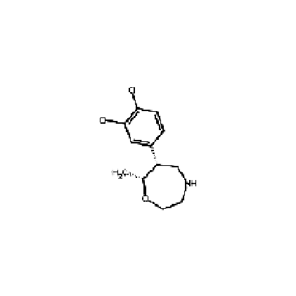 [CH2][C@H]1OCCNC[C@H]1c1ccc(Cl)c(Cl)c1